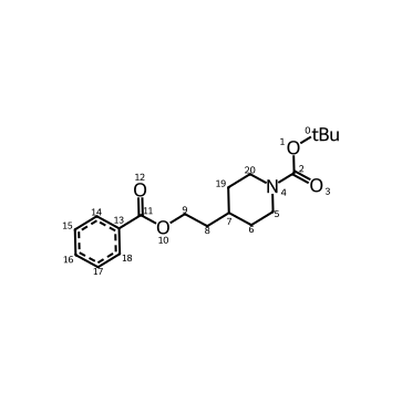 CC(C)(C)OC(=O)N1CCC(CCOC(=O)c2ccccc2)CC1